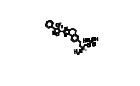 C[C@](N)(CCc1ccc2c(c1)CCc1nc(-c3onc(-c4ccccc4)c3C(F)(F)F)sc1-2)COP(=O)(O)O